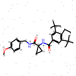 CCc1c(C(C)(C)C)cc(C(=O)NC2(C(=O)NCc3ccc(OC)cc3)CC2)cc1C(C)(C)C